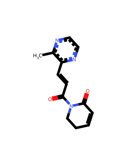 Cc1nccnc1/C=C/C(=O)N1CCC=CC1=O